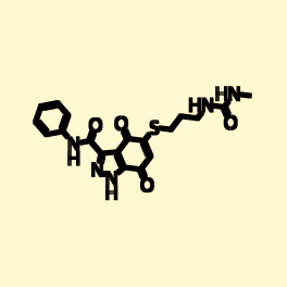 CNC(=O)NCCCSC1=CC(=O)c2[nH]nc(C(=O)Nc3ccccc3)c2C1=O